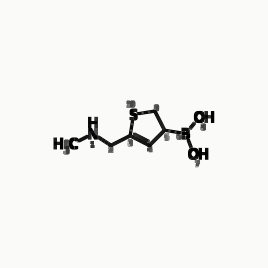 CNCC1=CC(B(O)O)CS1